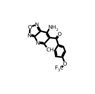 Cc1nc2nonc2c(N)c1C(=O)c1ccc(OC(F)(F)F)cc1